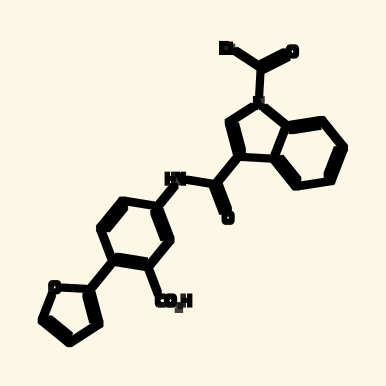 CCC(=O)n1cc(C(=O)Nc2ccc(-c3ccco3)c(C(=O)O)c2)c2ccccc21